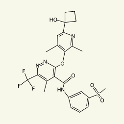 Cc1cc(C2(O)CCC2)nc(C)c1Oc1nnc(C(F)(F)F)c(C)c1C(=O)Nc1cccc(S(C)(=O)=O)c1